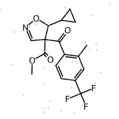 COC(=O)C1(C(=O)c2ccc(C(F)(F)F)cc2C)C=NOC1C1CC1